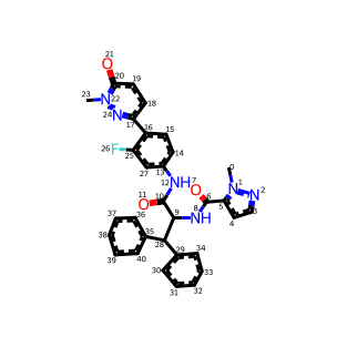 Cn1nccc1C(=O)NC(C(=O)Nc1ccc(-c2ccc(=O)n(C)n2)c(F)c1)C(c1ccccc1)c1ccccc1